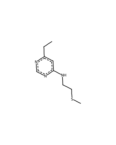 CCc1cc(NCCSC)ncn1